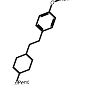 CCCCCC1CCC(CCc2ccc(OCCCC)cc2)CC1